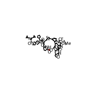 CO[C@@H](C)c1ncc(N2CCN3CCOC[C@@H]3C2)cc1-c1c2c3cc(ccc3n1CC(F)(F)F)-c1csc(n1)C[C@H](NC(=O)C(C1CCCC1)N1CC[C@]3(CCN(C(=O)[C@H]4C(C5CC5)N4C4CC4)C3)C1)C(=O)N1CCC[C@H](N1)C(=O)OCC(C)(C)C2